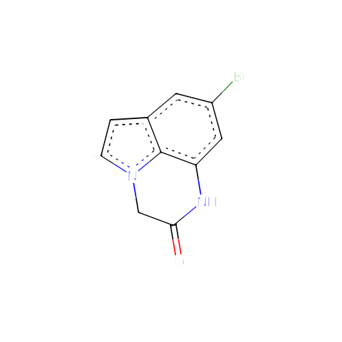 O=C1Cn2ccc3cc(Br)cc(c32)N1